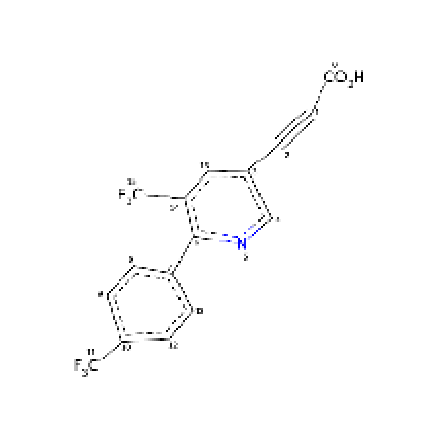 O=C(O)C#Cc1cnc(-c2ccc(C(F)(F)F)cc2)c(C(F)(F)F)c1